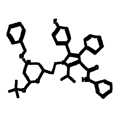 CC(C)c1c(C(=O)Nc2ccccc2)c(-c2ccccc2)c(-c2ccc(F)cc2)n1CCC1C[C@@H](OCc2ccccc2)CC(OC(C)(C)C)O1